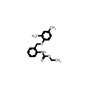 CCOC(=O)Nc1ccccc1COc1ccc(C)cc1C